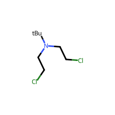 CC(C)(C)N(CCCl)CCCl